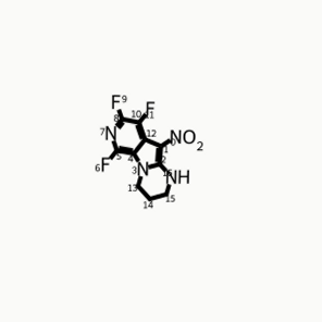 O=[N+]([O-])c1c2n(c3c(F)nc(F)c(F)c13)CCCN2